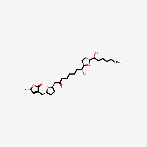 CCCCCCCCCCCCCC[C@@H](O)[C@H]1CC[C@H]([C@H](O)CCCCCC(=O)C[C@H]2CC[C@@H](CC3=C[C@H](C)OC3=O)O2)O1